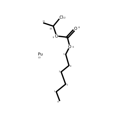 CCCCCCOC(=O)OC(C)Cl.[Pu]